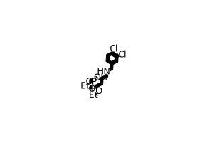 CCOC(CCCNCc1ccc(Cl)c(Cl)c1)(OCC)[PH](=O)O